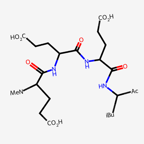 CCC(C)C(NC(=O)C(CCC(=O)O)NC(=O)C(CCC(=O)O)NC(=O)C(CCC(=O)O)NC)C(C)=O